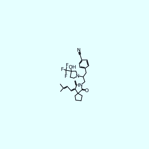 C=C/C(=C\C=C(C)C)C1(C(=O)NCC(Cc2ccc(C#N)cc2)N2CCC(O)(C(F)(F)F)C2)CCCC1